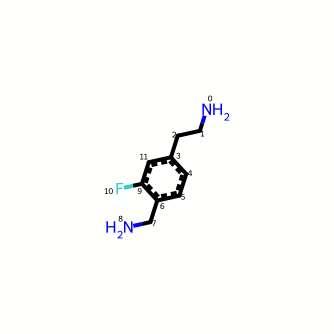 NCCc1ccc(CN)c(F)c1